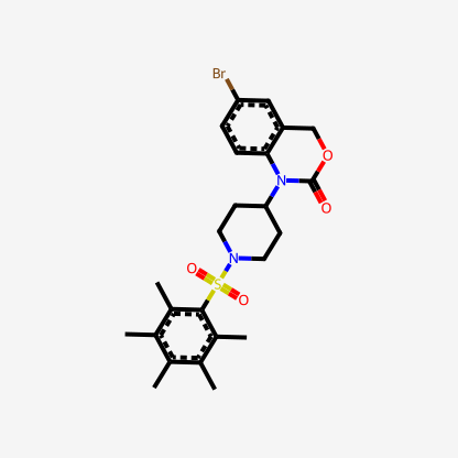 Cc1c(C)c(C)c(S(=O)(=O)N2CCC(N3C(=O)OCc4cc(Br)ccc43)CC2)c(C)c1C